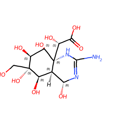 NC1=N[C@H](O)[C@H]2[C@@H](O)[C@@](O)(CO)[C@@H](O)[C@@H](O)[C@]2([C@H](O)C(=O)O)N1